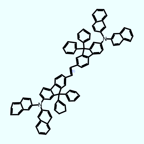 C1=CC(C2(c3ccccc3)c3cc(/C=C/c4ccc5c(c4)C(c4ccccc4)(c4ccccc4)c4cc(N(c6ccc7ccccc7c6)c6ccc7ccccc7c6)ccc4-5)ccc3-c3ccc(N(c4ccc5ccccc5c4)c4ccc5ccccc5c4)cc32)=CCC1